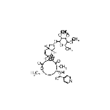 CC[C@H]1CCC[C@H](NC(=O)c2ccncc2)[C@@H](C)C(=O)C2=C[C@@H]3[C@@H](C=C[C@@H]4C[C@@H](OC5OC(C)C(OC)C(OC)C5OC)C[C@@H]34)[C@@H]2CC(=O)O1